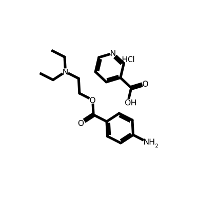 CCN(CC)CCOC(=O)c1ccc(N)cc1.Cl.O=C(O)c1cccnc1